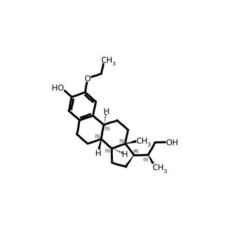 CCOc1cc2c(cc1O)CC[C@@H]1[C@@H]2CC[C@]2(C)[C@@H]([C@H](C)CO)CC[C@@H]12